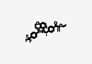 CCONC(=O)c1ccc([C@H](C)Nc2nccc3c2N(Cc2ccc(C(F)(F)F)cc2)CCO3)cc1